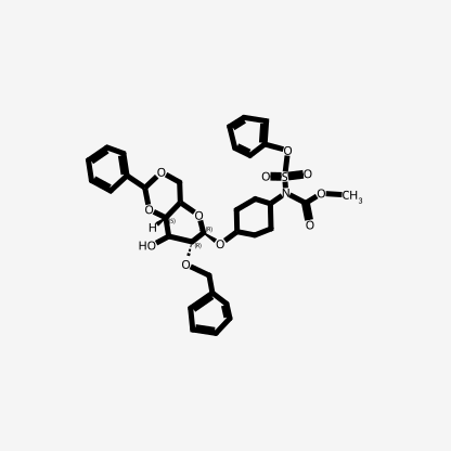 COC(=O)N(C1CCC(O[C@@H]2OC3COC(c4ccccc4)O[C@H]3C(O)[C@H]2OCc2ccccc2)CC1)S(=O)(=O)Oc1ccccc1